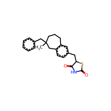 CC1(Cc2ccccc2)CCCc2cc(CC3SC(=O)NC3=O)ccc2C1